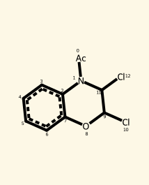 CC(=O)N1c2ccccc2OC(Cl)C1Cl